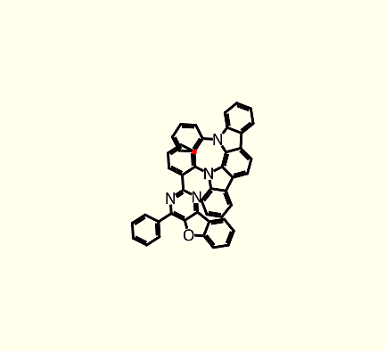 c1ccc(-c2nc(-c3ccccc3-n3c4ccccc4c4ccc5c6ccccc6n(-c6ccccc6)c5c43)nc3c2oc2ccccc23)cc1